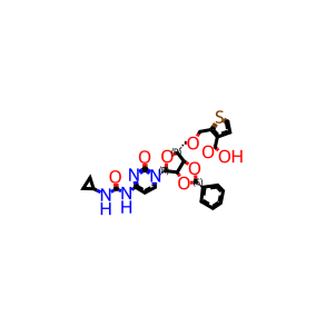 O=C(Nc1ccn([C@@H]2O[C@H](COCc3sccc3C(=O)O)C3O[C@H](c4ccccc4)OC32)c(=O)n1)NC1CC1